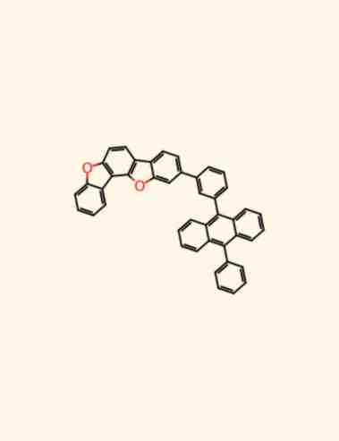 c1ccc(-c2c3ccccc3c(-c3cccc(-c4ccc5c(c4)oc4c5ccc5oc6ccccc6c54)c3)c3ccccc23)cc1